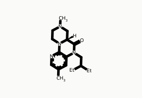 CCC(CC)CN1C(=O)[C@H]2CN(C)CCN2c2ncc(C)cc21